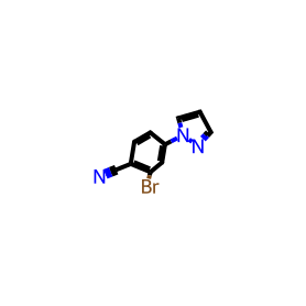 N#Cc1ccc(-n2cccn2)cc1Br